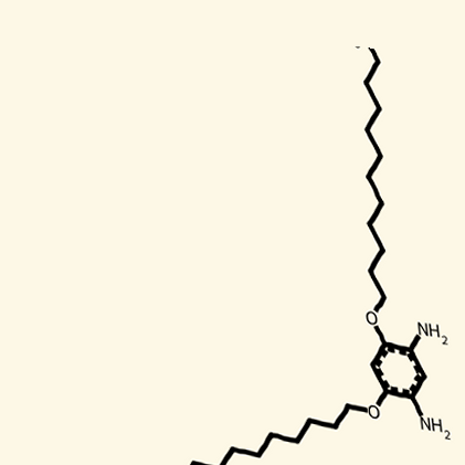 CCCCCCCCCCCCOc1cc(OCCCCCCCCCCCC)c(N)cc1N